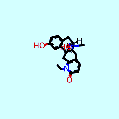 CCn1c2c(ccc1=O)C[C@@]1(O)[C@H]3Cc4ccc(O)cc4[C@@]1(CCN3C)C2